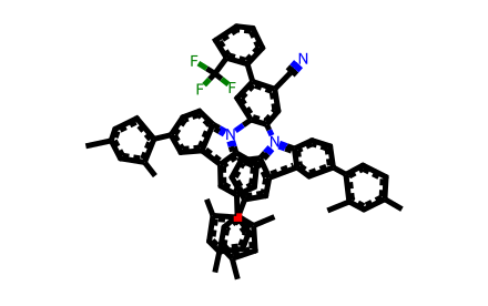 Cc1ccc(-c2ccc3c(c2)c2cc(-c4ccc(C)cc4C)ccc2n3-c2cc(C#N)c(-c3ccccc3C(F)(F)F)cc2-n2c3ccc(-c4ccc(C)cc4C)cc3c3cc(-c4ccc(C)cc4C)ccc32)c(C)c1